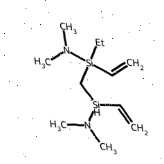 C=C[SiH](C[Si](C=C)(CC)N(C)C)N(C)C